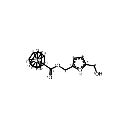 O=C(OCc1ccc(CO)o1)[C]12[CH]3[CH]4[CH]5[CH]1[Fe]45321678[CH]2[CH]1[CH]6[CH]7[CH]28